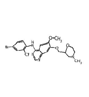 COc1cc2c(Nc3ccc(Br)cc3Cl)ncnc2cc1OCC1CN(C)CCO1